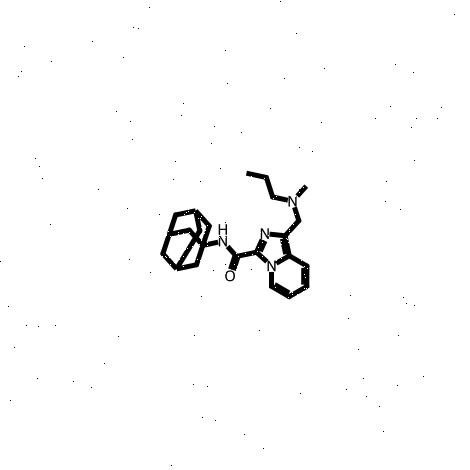 CCCN(C)Cc1nc(C(=O)NC23CC4CC(CC(C4)C2)C3)n2ccccc12